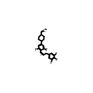 C=C=CC1CCC(c2cc(F)c(/C=C\Cc3cc(F)c(F)c(F)c3)c(F)c2)CC1